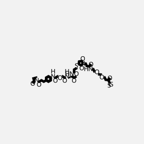 CC(=O)[C@@H](CNC(=O)COCC(=O)Nc1ccc(CCC(=O)N2CCC2=O)cc1)NC(=O)CCSC1CC(=O)N(CCC(=O)NCCOCCOCCC(=O)C2SS2)C1=O